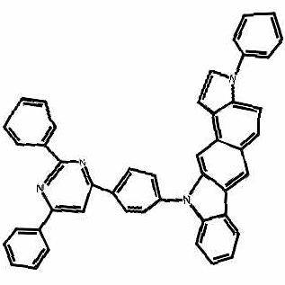 c1ccc(-c2cc(-c3ccc(-n4c5ccccc5c5cc6ccc7c(ccn7-c7ccccc7)c6cc54)cc3)nc(-c3ccccc3)n2)cc1